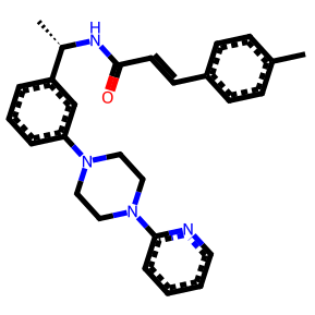 Cc1ccc(C=CC(=O)N[C@@H](C)c2cccc(N3CCN(c4ccccn4)CC3)c2)cc1